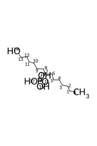 CCCCCCCCCCCCCCO.O=P(O)(O)O